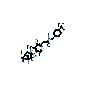 C[C@@H]1[C@H]2C[C@@H](C[C@H]1Nc1cnn(CC(=O)NCc3ccc(C(F)(F)F)cc3)c(=O)c1Br)C2(C)C